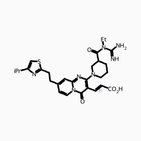 CCN(C(=N)N)C(=O)C1CCCN(c2nc3cc(CCc4nc(C(C)C)cs4)ccn3c(=O)c2/C=C/C(=O)O)C1